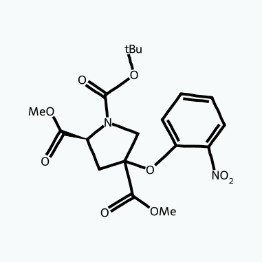 COC(=O)[C@@H]1CC(Oc2ccccc2[N+](=O)[O-])(C(=O)OC)CN1C(=O)OC(C)(C)C